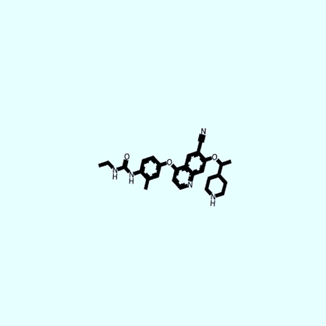 CCNC(=O)Nc1ccc(Oc2ccnc3cc(OC(C)C4CCNCC4)c(C#N)cc23)cc1C